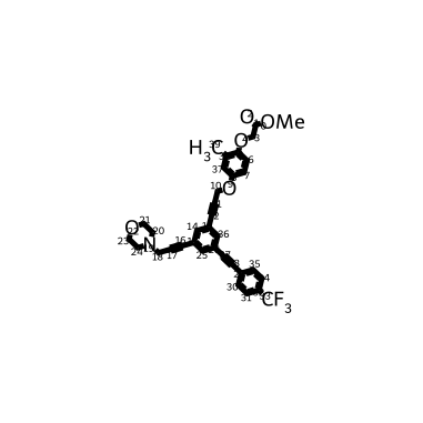 COC(=O)COc1ccc(OCC#Cc2cc(C#CCN3CCOCC3)cc(C#Cc3ccc(C(F)(F)F)cc3)c2)cc1C